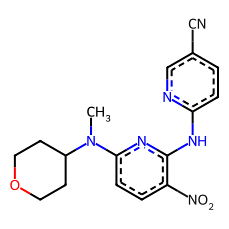 CN(c1ccc([N+](=O)[O-])c(Nc2ccc(C#N)cn2)n1)C1CCOCC1